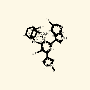 Cn1cc(-c2nc(-c3c[nH]c4ncc(F)cc34)nc(N[C@H]3C4CCC(CC4)[C@@H]3C(=O)O)c2F)cn1